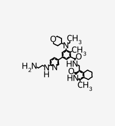 CCN(c1cc(-c2ccc(NCCN)nc2)cc(C(=O)NCc2c3c(c(C)[nH]c2=O)CCCC3)c1C)C1CCOCC1